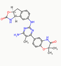 Cc1c(N)nc(Nc2ccc3c(c2)[C@H]2NC(=O)O[C@H]2C3)nc1-c1ccc2c(c1)NC(=O)C(C)(C)O2